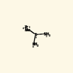 [BH2][Ti]([SiH3])[Mo].[Zr]